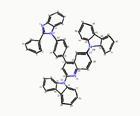 c1ccc(-c2nc3ccccc3n2-c2ccc(-c3cc(-n4c5ccccc5c5ccccc54)nc4ccc(-n5c6ccccc6c6ccccc65)cc34)cc2)cc1